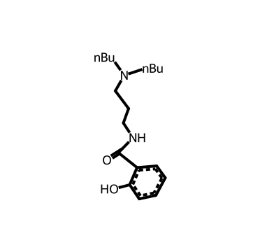 CCCCN(CCCC)CCCNC(=O)c1ccccc1O